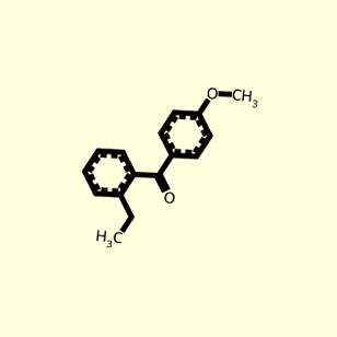 CCc1ccccc1C(=O)c1ccc(OC)cc1